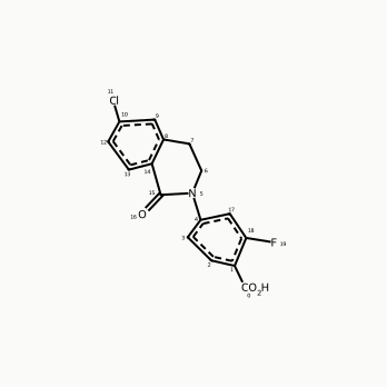 O=C(O)c1ccc(N2CCc3cc(Cl)ccc3C2=O)cc1F